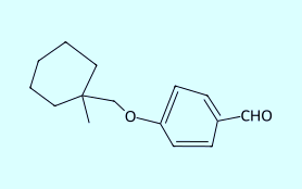 CC1(COc2ccc(C=O)cc2)CCCCC1